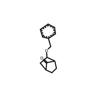 O=C1C2CCC1C(OCc1ccccc1)C2